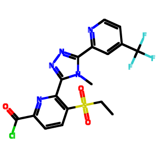 CCS(=O)(=O)c1ccc(C(=O)Cl)nc1-c1nnc(-c2cc(C(F)(F)F)ccn2)n1C